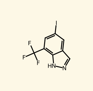 FC(F)(F)c1cc(I)cc2cn[nH]c12